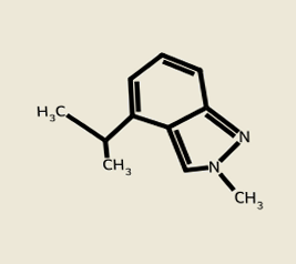 CC(C)c1cccc2nn(C)cc12